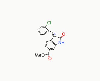 COC(=O)c1ccc2c(c1)NC(=O)/C2=C/c1ccccc1Cl